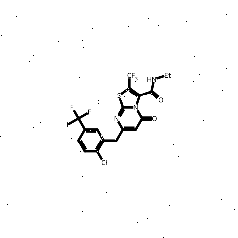 CCNC(=O)c1c(C(F)(F)F)sc2nc(Cc3cc(C(F)(F)I)ccc3Cl)cc(=O)n12